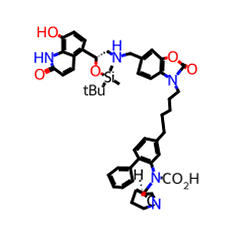 CC(C)(C)[Si](C)(C)O[C@@H](CNCc1ccc2c(c1)oc(=O)n2CCCCCc1ccc(-c2ccccc2)c(N(C(=O)O)[C@H]2CN3CCC2CC3)c1)c1ccc(O)c2[nH]c(=O)ccc12